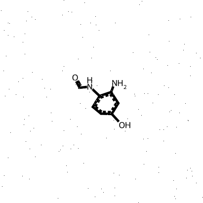 Nc1cc(O)ccc1NC=O